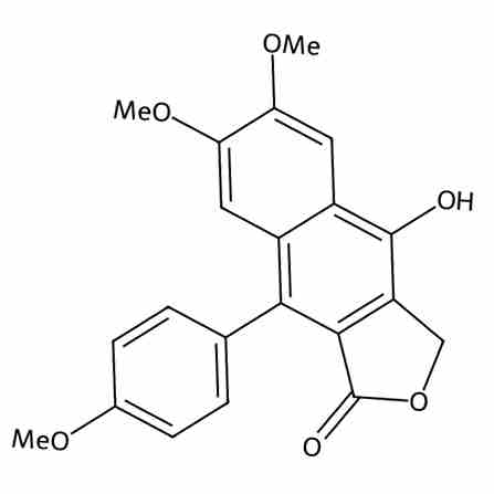 COc1ccc(-c2c3c(c(O)c4cc(OC)c(OC)cc24)COC3=O)cc1